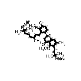 COc1c(C)ccc([C@@H]2CC(=O)c3c(cc(C)c(CCC(C)(C)N=[N+]=[N-])c3OC)O2)c1C/C=C(\C)CCCC(C)(C)N=[N+]=[N-]